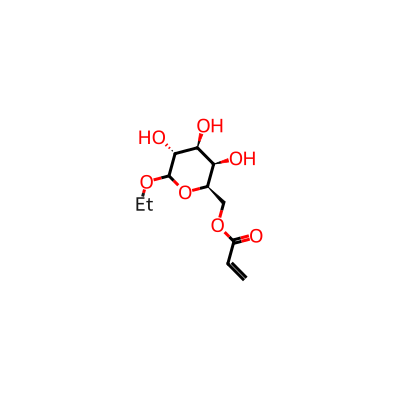 C=CC(=O)OC[C@H]1OC(OCC)[C@H](O)[C@@H](O)[C@H]1O